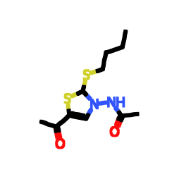 CCCCSC1SC(C(C)=O)=CN1NC(C)=O